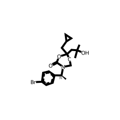 C[C@@H](c1ccc(Br)cc1)N1CCC(CC2CC2)(CC(C)(C)O)OC1=O